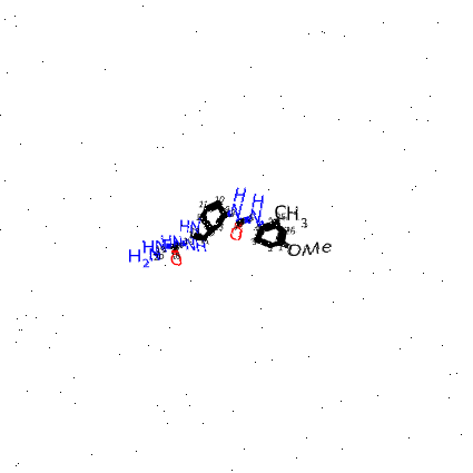 COc1ccc(NC(=O)Nc2ccc3[nH]c(NNC(=O)NN)cc3c2)c(C)c1